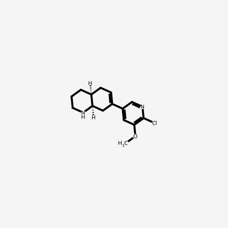 COc1cc(C2=CC[C@@H]3CCCN[C@@H]3C2)cnc1Cl